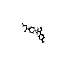 C=CC(c1ccc(Br)cc1)S(=O)(=O)N1CCC(C(=O)OCC)CC1